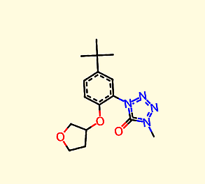 Cn1nnn(-c2cc(C(C)(C)C)ccc2OC2CCOC2)c1=O